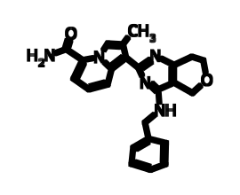 Cc1cn2c(C(N)=O)cccc2c1-c1nc2c(c(NCc3ccccc3)n1)COCC2